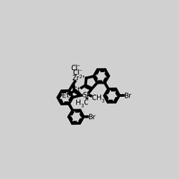 CCC1=C2c3c(-c4cccc(Br)c4)cccc3[CH]1[Zr+2][CH]1C(CC)=C(c3c(-c4cccc(Br)c4)cccc31)[Si]2(C)C.[Cl-].[Cl-]